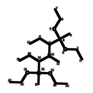 CCO[Si](C)(OCC)C(CC)N(C)C(CC)[Si](C)(OCC)OCC